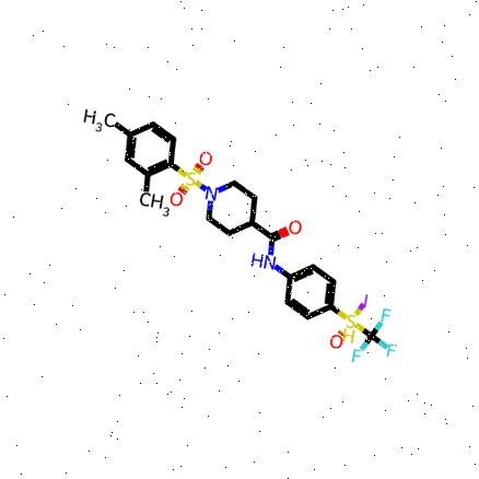 Cc1ccc(S(=O)(=O)N2CCC(C(=O)Nc3ccc([SH](=O)(I)C(F)(F)F)cc3)CC2)c(C)c1